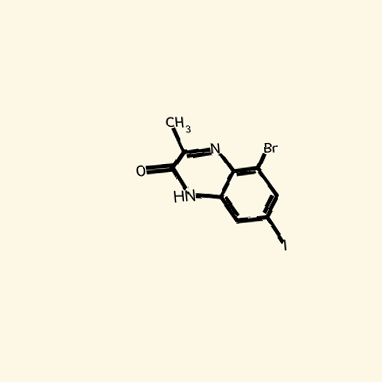 Cc1nc2c(Br)cc(I)cc2[nH]c1=O